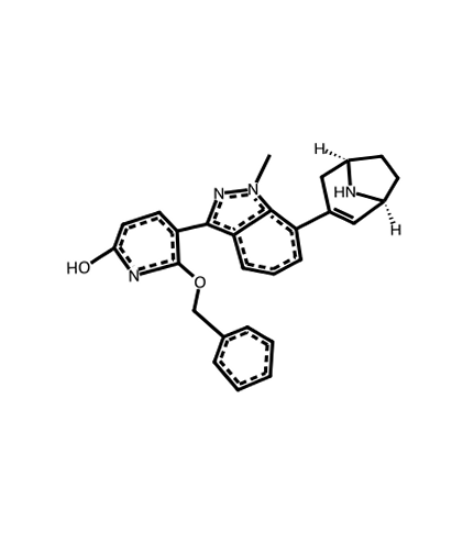 Cn1nc(-c2ccc(O)nc2OCc2ccccc2)c2cccc(C3=C[C@@H]4CC[C@H](C3)N4)c21